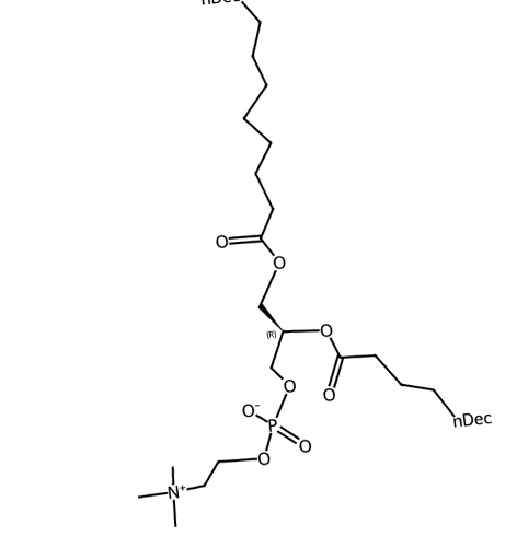 CCCCCCCCCCCCCCCCCC(=O)OC[C@H](COP(=O)([O-])OCC[N+](C)(C)C)OC(=O)CCCCCCCCCCCCC